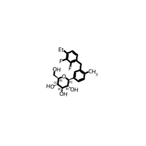 CCc1ccc(Cc2cc([C@@H]3O[C@H](CO)[C@@H](O)[C@H](O)[C@H]3O)ccc2C)c(F)c1F